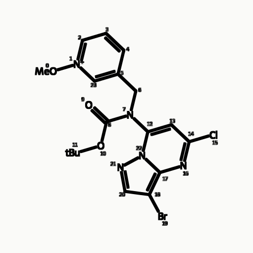 CO[n+]1cccc(CN(C(=O)OC(C)(C)C)c2cc(Cl)nc3c(Br)cnn23)c1